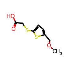 COCc1ccc(SCC(=O)O)s1